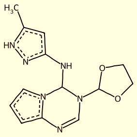 Cc1cc(NC2N(C3OCCO3)C=Nc3cccn32)n[nH]1